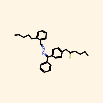 CCCCCc1ccccc1C=NN=C(c1ccccc1)c1ccc(CC(F)CCCC)cc1